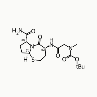 CN(CC(=O)N[C@H]1CCS[C@H]2CC[C@H](C(N)=O)N2C1=O)C(=O)OC(C)(C)C